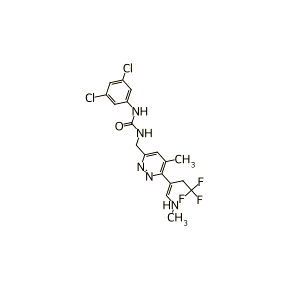 CN/C=C(\CC(F)(F)F)c1nnc(CNC(=O)Nc2cc(Cl)cc(Cl)c2)cc1C